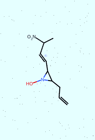 C=CCC1C(/C=C/C(C)[N+](=O)[O-])N1O